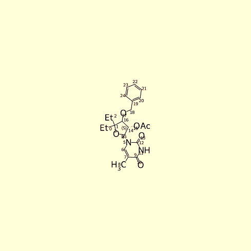 CCC1(CC)O[C@@H](n2cc(C)c(=O)[nH]c2=O)[C@@H](OC(C)=O)C1OCc1ccccc1